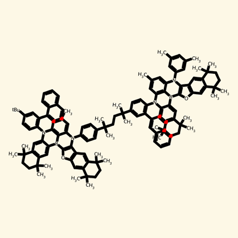 Cc1cc(C)cc(N2c3cc(C)cc4c3B(c3cc5c(cc3N4c3ccc(C(C)(C)CCC(C)(C)c4ccc(N6c7cc(C)cc8c7B(c7cc9c(cc7N8c7ccc(C(C)(C)C)cc7-c7cccc8ccccc78)C(C)(C)CCC9(C)C)c7oc8cc9c(cc8c76)C(C)(C)CCC9(C)C)cc4)cc3-c3ccc4ccccc4c3)C(C)(C)CCC5(C)C)c3oc4cc5c(cc4c32)C(C)(C)CCC5(C)C)c1